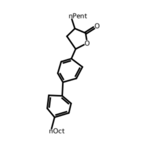 CCCCCCCCc1ccc(-c2ccc(C3CC(CCCCC)C(=O)O3)cc2)cc1